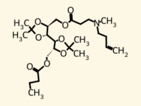 C=CCCN(C)CCC(=O)OC[C@@H]1OC(C)(C)O[C@H]1[C@H]1OC(C)(C)O[C@@H]1COC(=O)CCC